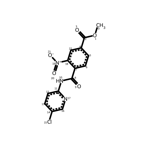 COC(=O)c1ccc(C(=O)Nc2ccc(Cl)cn2)c([N+](=O)[O-])c1